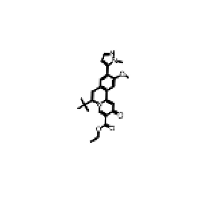 CCOC(=O)c1cn2c(cc1=O)-c1cc(OC)c(-c3ccnn3C)cc1CC2C(C)(C)C